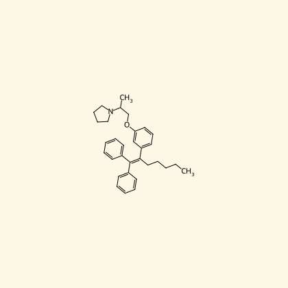 CCCCCC(=C(c1ccccc1)c1ccccc1)c1cccc(OCC(C)N2CCCC2)c1